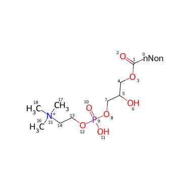 CCCCCCCCCC(=O)OCC(O)COP(=O)(O)OCC[N+](C)(C)C